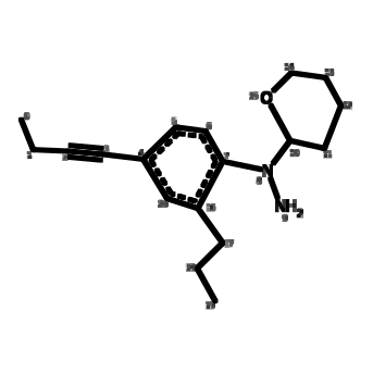 CCC#Cc1ccc(N(N)C2CCCCO2)c(CCC)c1